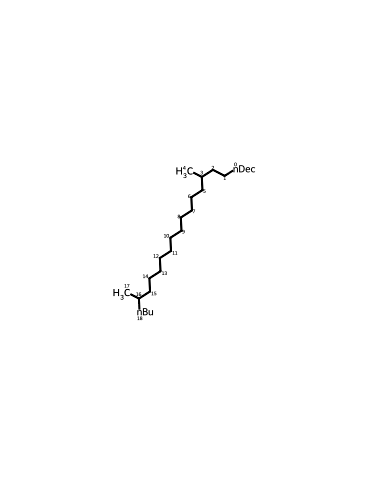 CCCCCCCCCCCCC(C)CCCCCCCCCCCC(C)CCCC